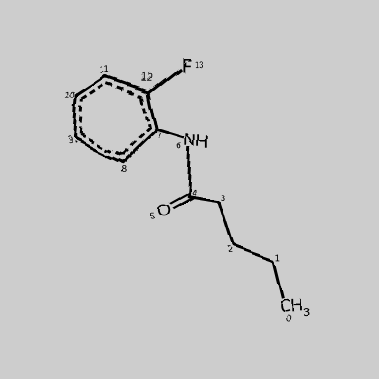 CCCCC(=O)Nc1c[c]ccc1F